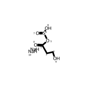 O=C(CCO)OS(=O)O.[NaH].[NaH]